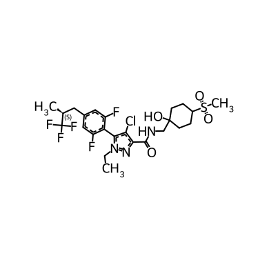 CCn1nc(C(=O)NCC2(O)CCC(S(C)(=O)=O)CC2)c(Cl)c1-c1c(F)cc(C[C@H](C)C(F)(F)F)cc1F